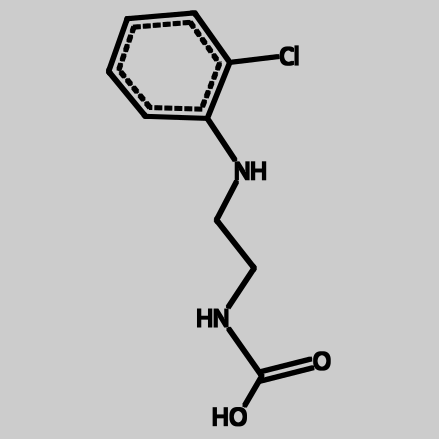 O=C(O)NCCNc1ccccc1Cl